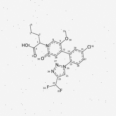 CCCC(C(=O)O)n1cc(OC)c(-c2cc(Cl)ccc2-n2cc(C(F)F)nn2)cc1=O